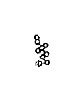 C1=CCC(c2cccc3c(-c4c5ccccc5c(C5=CC6C=CC=CC6C=C5)c5ccccc45)cccc23)C(c2ccncc2)=C1